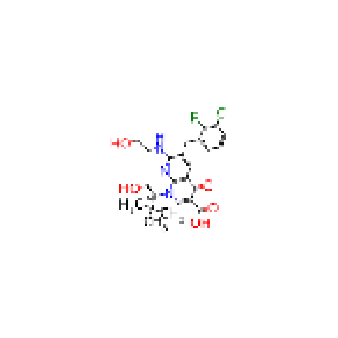 CC(C)(C)[C@@H](CO)n1cc(C(=O)O)c(=O)c2cc(Cc3cccc(Cl)c3F)c(NCCO)nc21